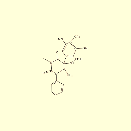 CC(=O)Oc1cc(C2(NC(=O)O)C(=O)N(C)C(=O)N(c3ccccc3)C2N)cc(OC(C)=O)c1OC(C)=O